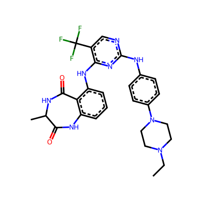 CCN1CCN(c2ccc(Nc3ncc(C(F)(F)F)c(Nc4cccc5c4C(=O)NC(C)C(=O)N5)n3)cc2)CC1